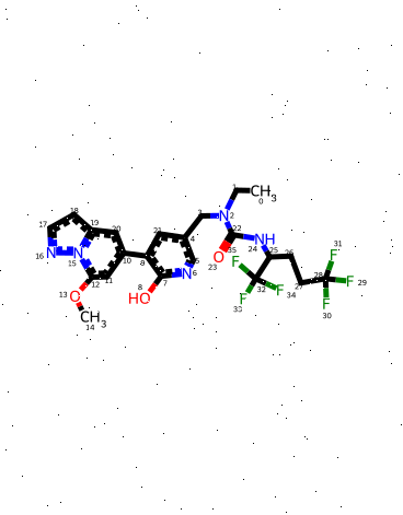 CCN(Cc1cnc(O)c(-c2cc(OC)n3nccc3c2)c1)C(=O)NC(CCC(F)(F)F)C(F)(F)F